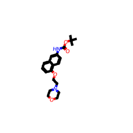 CC(C)(C)OC(=O)Nc1ccc2c(OCCN3CCOCC3)cccc2c1